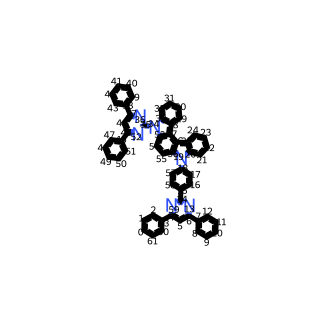 c1ccc(-c2cc(-c3ccccc3)nc(-c3ccc(-n4c5ccccc5c5c6c7ccccc7n(-c7nc(-c8ccccc8)cc(-c8ccccc8)n7)c6ccc54)cc3)n2)cc1